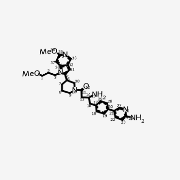 COCCCn1c(C2CCCN(C(=O)CC(N)Cc3ccc(-c4ccc(N)nc4)cc3)C2)cc2cnc(OC)cc21